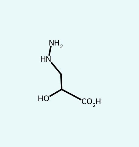 NNCC(O)C(=O)O